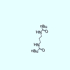 CCCCC(=O)NCCCNC(=O)CCCC